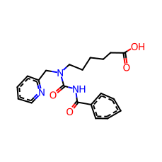 O=C(O)CCCCCN(Cc1ccccn1)C(=O)NC(=O)c1ccccc1